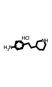 Cl.Nc1ccc(CCC2CCCNC2)cc1